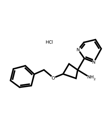 Cl.NC1(c2ncccn2)CC(OCc2ccccc2)C1